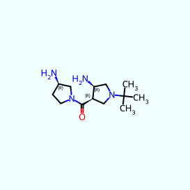 CC(C)(C)N1C[C@H](N)[C@H](C(=O)N2CC[C@@H](N)C2)C1